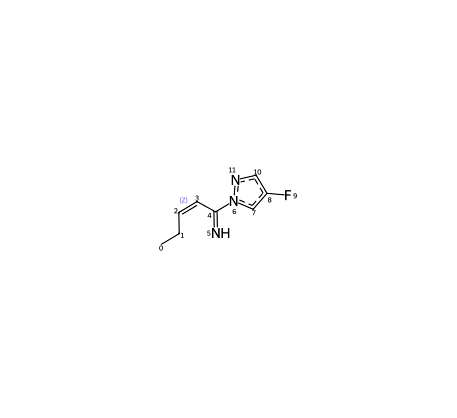 CC/C=C\C(=N)n1cc(F)cn1